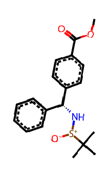 COC(=O)c1ccc([C@H](N[S+]([O-])C(C)(C)C)c2ccccc2)cc1